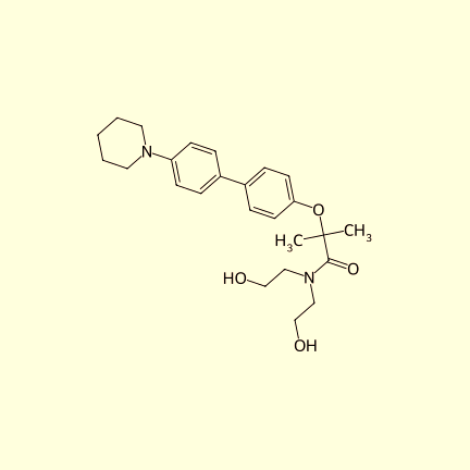 CC(C)(Oc1ccc(-c2ccc(N3CCCCC3)cc2)cc1)C(=O)N(CCO)CCO